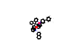 Bc1c(B)c(B)c(-c2ccc(N(c3ccc4c(c3)c3ccccc3n4-c3ccc4ccccc4c3)c3ccccc3C3(c4ccccc4)c4ccccc4-c4ccccc43)cc2)c(B)c1B